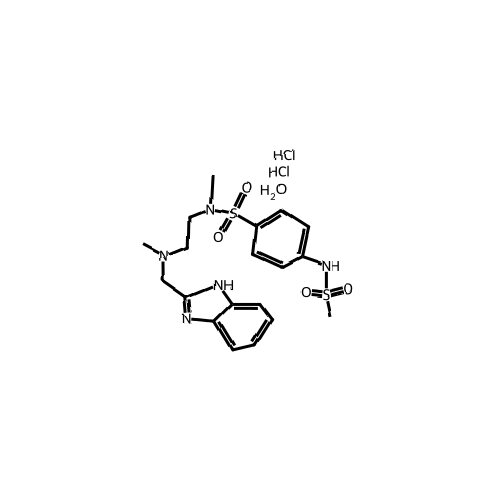 CN(CCN(C)S(=O)(=O)c1ccc(NS(C)(=O)=O)cc1)Cc1nc2ccccc2[nH]1.Cl.Cl.O